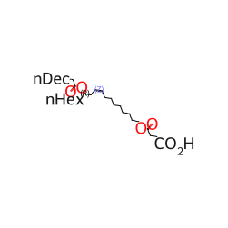 CCCCCCCCCCCC(=O)O[C@@H](C/C=C\CCCCCCCCOC(=O)CCC(=O)O)CCCCCC